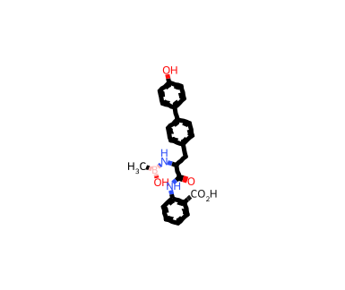 CB(O)NC(Cc1ccc(-c2ccc(O)cc2)cc1)C(=O)Nc1ccccc1C(=O)O